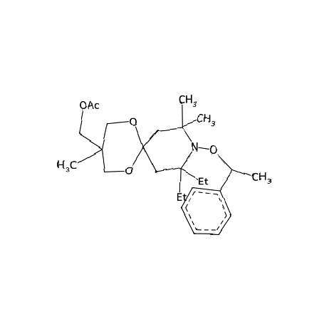 CCC1(CC)CC2(CC(C)(C)N1OC(C)c1ccccc1)OCC(C)(COC(C)=O)CO2